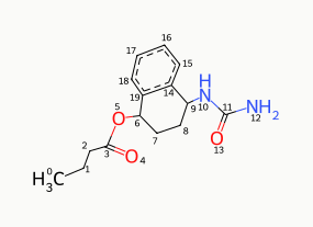 CCCC(=O)OC1CCC(NC(N)=O)c2ccccc21